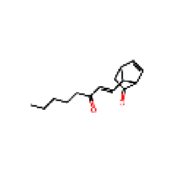 CCCCCC(=O)C=CC1C2C=CC1C(=O)C2